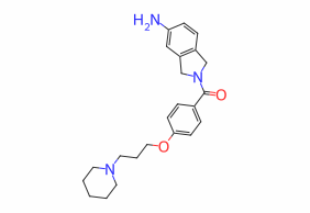 Nc1ccc2c(c1)CN(C(=O)c1ccc(OCCCN3CCCCC3)cc1)C2